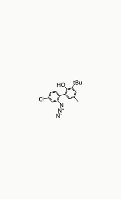 Cc1cc(-c2ccc(Cl)cc2N=[N+]=[N-])c(O)c(C(C)(C)C)c1